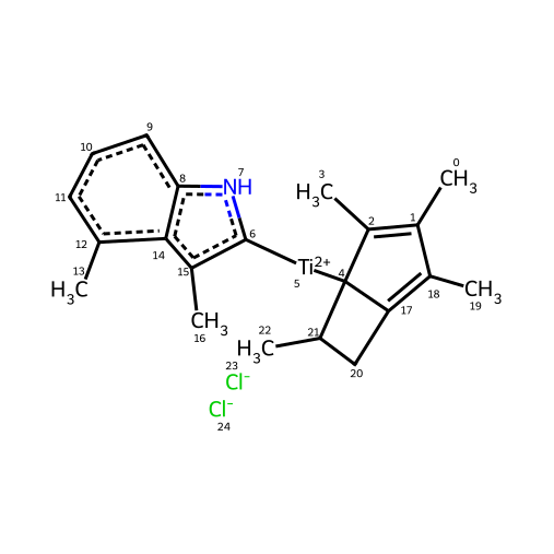 CC1=C(C)[C]2([Ti+2][c]3[nH]c4cccc(C)c4c3C)C(=C1C)CC2C.[Cl-].[Cl-]